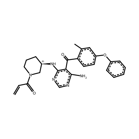 C=CC(=O)N1CCC[C@@H](Nc2ncnc(N)c2C(=O)c2ccc(Oc3ccccc3)cc2C)C1